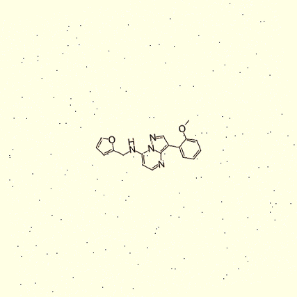 COc1ccccc1-c1cnn2c(NCc3ccco3)ccnc12